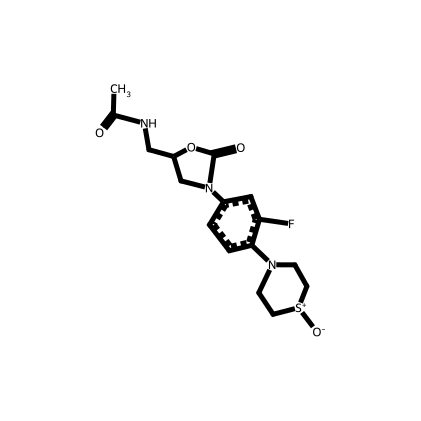 CC(=O)NCC1CN(c2ccc(N3CC[S+]([O-])CC3)c(F)c2)C(=O)O1